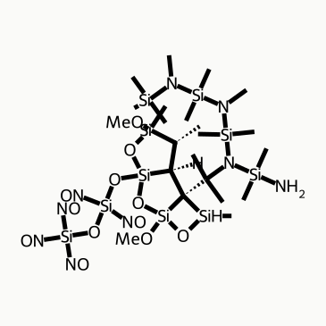 CO[Si]1(C)O[Si]2(O[Si](N=O)(N=O)O[Si](N=O)(N=O)N=O)O[Si]3(OC)O[SiH](C)[C@]3(C(C)(C)N([Si](C)(C)N)[Si](C)(C)N(C)[Si](C)(C)N(C)[Si](C)(C)C)[C@@H]2[C@H]1C